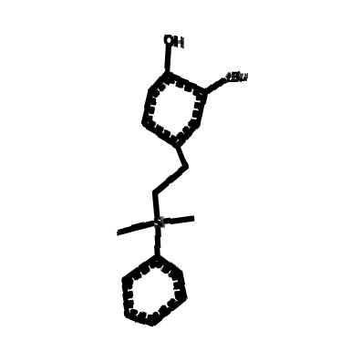 CC(C)(C)c1cc(CC[Si](C)(C)c2ccccc2)ccc1O